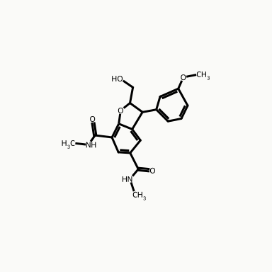 CNC(=O)c1cc(C(=O)NC)c2c(c1)C(c1cccc(OC)c1)C(CO)O2